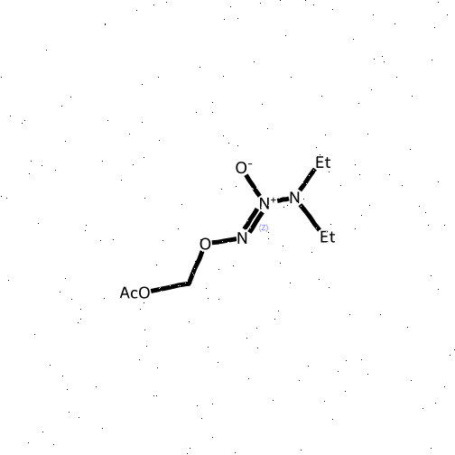 CCN(CC)/[N+]([O-])=N/OCOC(C)=O